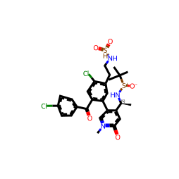 C[C@H](N[S+]([O-])C(C)(C)C)c1cc(=O)n(C)cc1-c1cc(CCN[SH](=O)=O)c(Cl)cc1C(=O)c1ccc(Cl)cc1